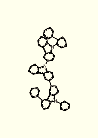 c1ccc(-c2ccccc2-n2c3ccccc3c3cc(-n4c5ccccc5c5cc(-c6ccc7c(c6)c6c(-c8ccccc8)cccc6n7-c6ccccc6)ccc54)ccc32)cc1